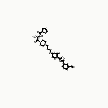 C[C@@H](NC(=O)c1cccs1)C(=O)N1CCN(CCCOc2ccc(-c3noc(-c4cccc(C#N)c4)n3)c(F)c2)CC1